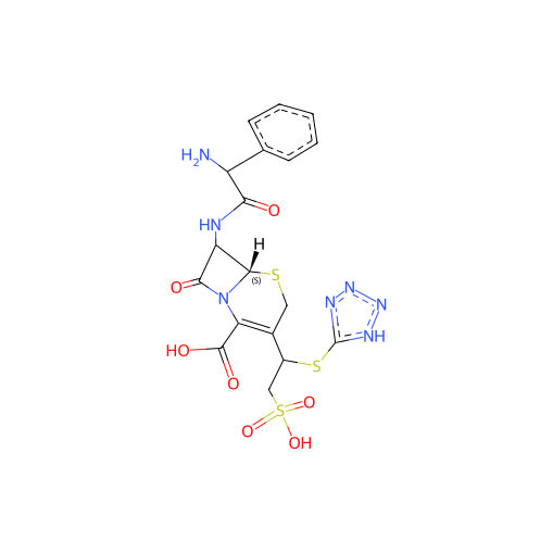 NC(C(=O)NC1C(=O)N2C(C(=O)O)=C(C(CS(=O)(=O)O)Sc3nnn[nH]3)CS[C@@H]12)c1ccccc1